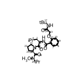 CC(C)C[C@@H](NC(=O)c1ccccc1OCC(=O)NC(C)(C)C)C(=O)N1CCC[C@@H]1C(=O)N(C)C(C)C